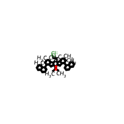 CCCCC1=Cc2c(-c3cccc4ccccc34)c(C)c(C)c(C)c2[CH]1[Zr+2]1([CH]2C(CCCC)=Cc3c(-c4cccc5ccccc45)c(C)c(C)c(C)c32)[CH2][CH2]1.[Cl-].[Cl-]